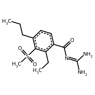 CCCc1ccc(C(=O)N=C(N)N)c(CC)c1S(C)(=O)=O